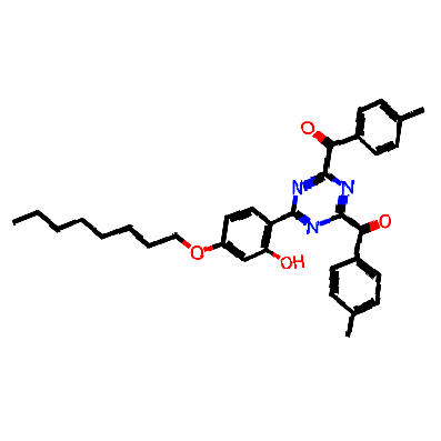 CCCCCCCCOc1ccc(-c2nc(C(=O)c3ccc(C)cc3)nc(C(=O)c3ccc(C)cc3)n2)c(O)c1